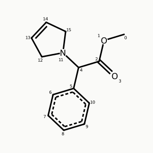 COC(=O)C(c1ccccc1)N1CC=CC1